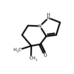 CC1(C)CCN2NCC=C2C1=O